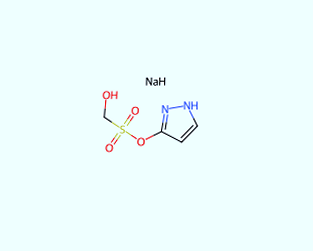 O=S(=O)(CO)Oc1cc[nH]n1.[NaH]